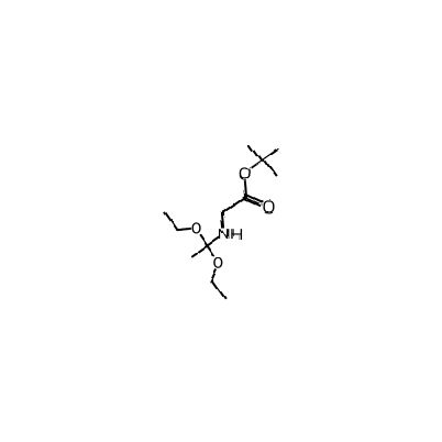 CCOC(C)(NCC(=O)OC(C)(C)C)OCC